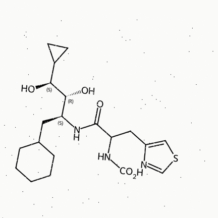 O=C(O)NC(Cc1cscn1)C(=O)N[C@@H](CC1CCCCC1)[C@@H](O)[C@@H](O)C1CC1